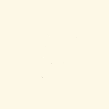 Cc1ncc(CC(C)(C)C(=O)O)cc1CN1CC2(CCOCC2)Oc2ncccc2S1(=O)=O